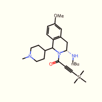 CCCCN[C@H]1Cc2cc(OC)ccc2C(C2CCN(C)CC2)N1C(=O)C#C[Si](C)(C)C